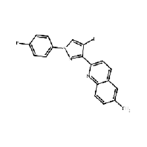 Cc1ccc2nc(-c3nn(-c4ccc(F)cc4)cc3I)ccc2c1